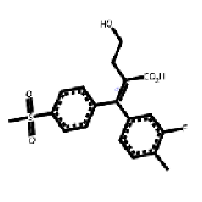 Cc1ccc(/C(=C(/CCO)C(=O)O)c2ccc(S(C)(=O)=O)cc2)cc1F